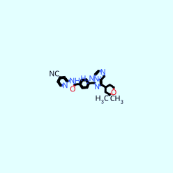 CC1(C)CC(C2=C3C=NC=C[N+]3(N)C(c3ccc(C(=O)Nc4cc(C#N)ccn4)cc3)=N2)CCO1